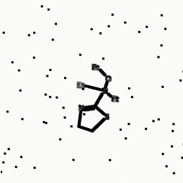 CCO[Si](CC)(CC)C1=NCCS1